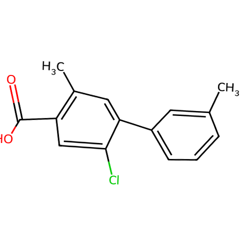 Cc1cccc(-c2cc(C)c(C(=O)O)cc2Cl)c1